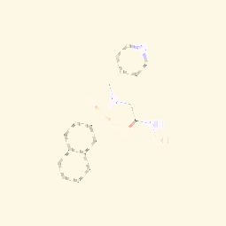 CC(C)[C@H](C(=O)NO)N(Cc1ccncc1)S(=O)(=O)c1ccc2ccccc2c1